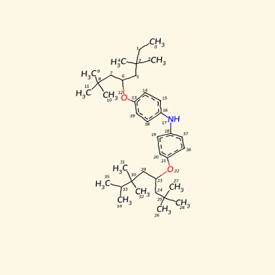 CCC(C)(C)CC(CC(C)(C)C)Oc1ccc(Nc2ccc(OC(CC(C)(C)C)CC(C)(C)C(C)C)cc2)cc1